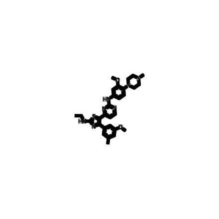 CCNc1nc(-c2cc(C)cc(OC)c2)c(-c2ccnc(Nc3ccc(N4CCN(C)CC4)c(OC)c3)n2)s1